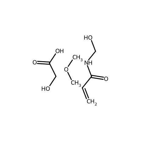 C=CC(=O)NCO.COC.O=C(O)CO